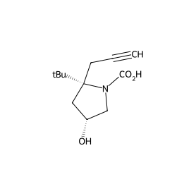 C#CC[C@]1(C(C)(C)C)C[C@@H](O)CN1C(=O)O